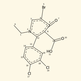 CCn1cc(Br)c(=O)c(C(=O)O)c1-c1ccc(Cl)c(Cl)c1